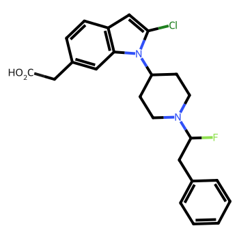 O=C(O)Cc1ccc2cc(Cl)n(C3CCN(C(F)Cc4ccccc4)CC3)c2c1